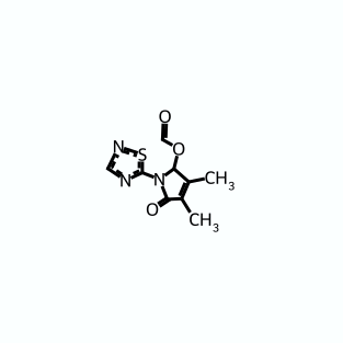 CC1=C(C)C(OC=O)N(c2ncns2)C1=O